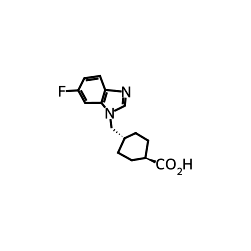 O=C(O)[C@H]1CC[C@H](Cn2cnc3ccc(F)cc32)CC1